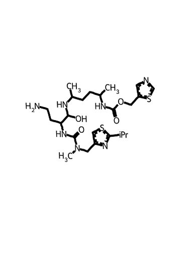 CC(CCC(C)NC(O)C(CCN)NC(=O)N(C)Cc1csc(C(C)C)n1)NC(=O)OCc1cncs1